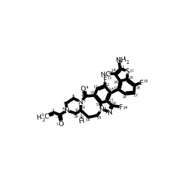 C=CC(=O)N1CCN2C(=O)c3cc(F)c(-c4ccc(F)c5sc(N)c(C#N)c45)c4c(F)nn(c34)CC[C@H]2C1